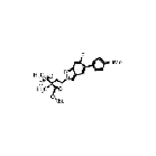 COc1ccc(-c2cc3cn(CC[C@](C)(C(=O)OC(C)(C)C)S(C)(=O)=O)nc3cc2F)cc1